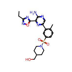 CCc1noc(-c2nc(-c3cc(S(=O)(=O)N4CCC(CO)CC4)ccc3C)cnc2N)n1